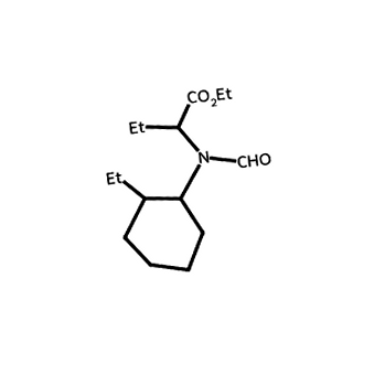 CCOC(=O)C(CC)N(C=O)C1CCCCC1CC